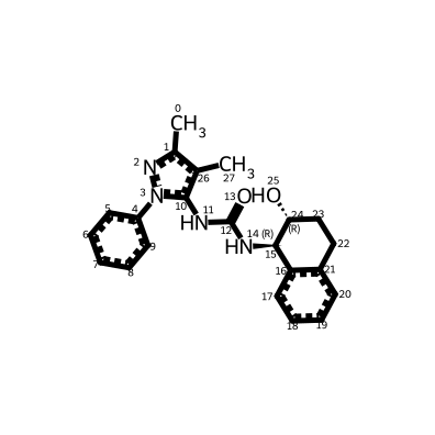 Cc1nn(-c2ccccc2)c(NC(=O)N[C@@H]2c3ccccc3CC[C@H]2O)c1C